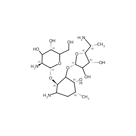 C[C@@H]1CC(N)[C@@H](O[C@H]2OC(CO)[C@@H](O)C(O)[C@@H]2N)C(O[C@@H]2O[C@H]([C@@H](C)N)[C@H](O)C2O)[C@@H]1O